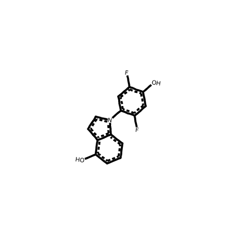 Oc1cc(F)c(-n2ccc3c(O)cccc32)cc1F